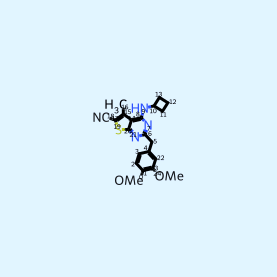 COc1ccc(Cc2nc(NC3CCC3)c3c(C)c(C#N)sc3n2)cc1OC